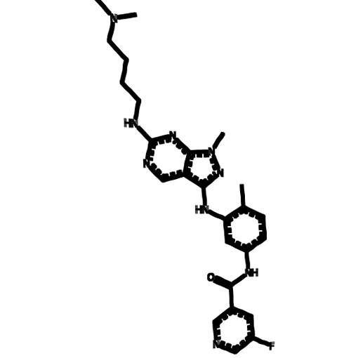 Cc1ccc(NC(=O)c2cncc(F)c2)cc1Nc1nn(C)c2nc(NCCCCN(C)C)ncc12